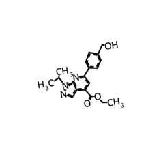 CCOC(=O)c1cc(-c2ccc(CO)cc2)nc2c1cnn2C(C)C